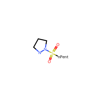 CCCCCS(=O)(=O)N1CCC[N]1